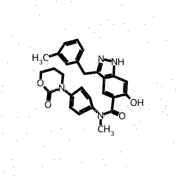 Cc1cccc(Cc2n[nH]c3cc(O)c(C(=O)N(C)c4ccc(N5CCCOC5=O)cc4)cc23)c1